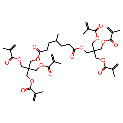 C=C(C)C(=O)OCC(COC(=O)CCC(C)CCC(=O)OCC(COC(=O)C(=C)C)(COC(=O)C(=C)C)COC(=O)C(=C)C)(COC(=O)C(=C)C)COC(=O)C(=C)C